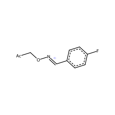 CC(=O)CO/N=C/c1ccc(F)cc1